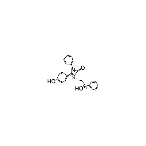 O=C1[C@H](CC[C@H](O)c2ccccc2)[C@@H](c2ccc(O)cc2)N1c1ccccc1